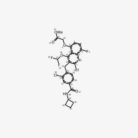 CCc1nc2c(F)ccc(OCC(=O)OC)c2c(OC(F)F)c1Cc1ccc(C(=O)NC2CCC2)cc1Cl